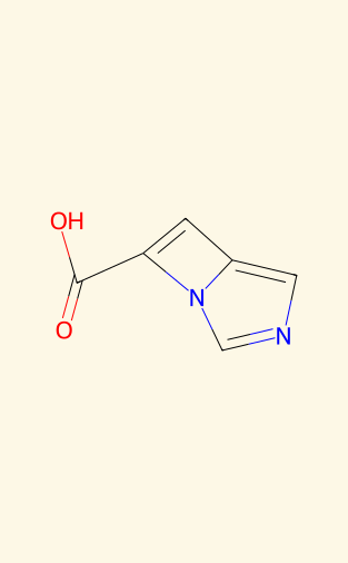 O=C(O)C1=Cc2cncn21